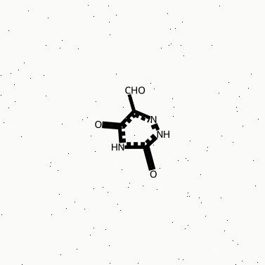 O=Cc1n[nH]c(=O)[nH]c1=O